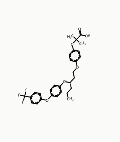 CCC[C@H](CCOc1ccc(OC(C)(C)C(=O)O)cc1)Oc1ccc(Oc2ccc(C(F)(F)F)cc2)cc1